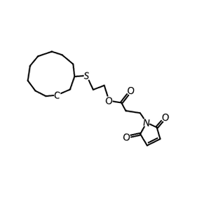 O=C(CCN1C(=O)C=CC1=O)OCCSC1CCCCCCCCCC1